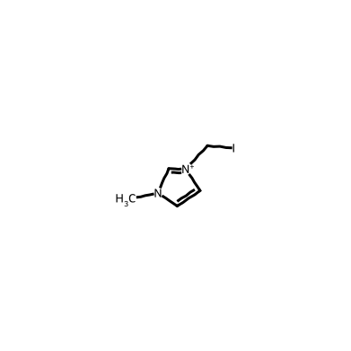 Cn1cc[n+](CI)c1